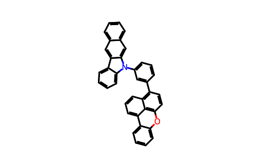 c1cc(-c2ccc3c4c(cccc24)-c2ccccc2O3)cc(-n2c3ccccc3c3cc4ccccc4cc32)c1